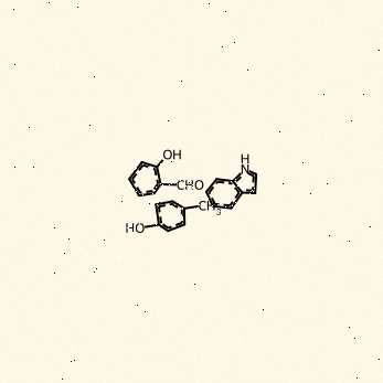 Cc1ccc(O)cc1.O=Cc1ccccc1O.c1ccc2[nH]ccc2c1